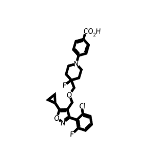 O=C(O)c1ccc(N2CCC(F)(COCc3c(-c4c(F)cccc4Cl)noc3C3CC3)CC2)cc1